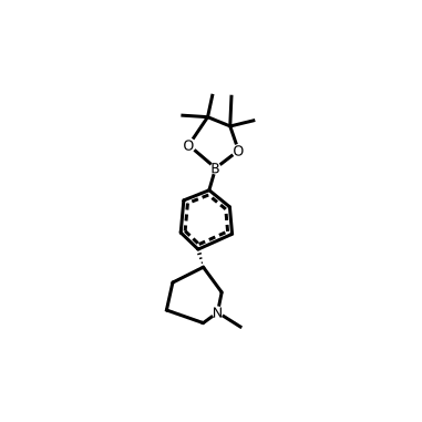 CN1CCC[C@H](c2ccc(B3OC(C)(C)C(C)(C)O3)cc2)C1